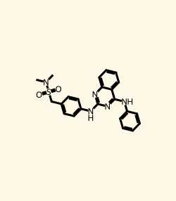 CN(C)S(=O)(=O)Cc1ccc(Nc2nc(Nc3ccccc3)c3ccccc3n2)cc1